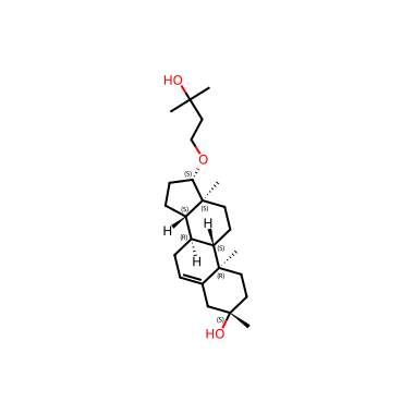 CC(C)(O)CCO[C@H]1CC[C@H]2[C@@H]3CC=C4C[C@@](C)(O)CC[C@]4(C)[C@H]3CC[C@]12C